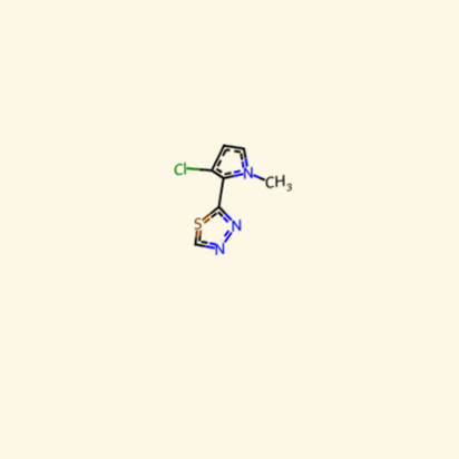 Cn1ccc(Cl)c1-c1nncs1